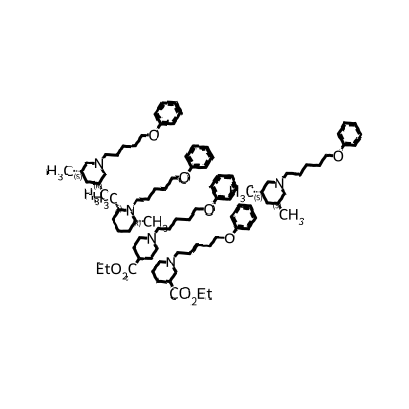 CCOC(=O)C1CCCN(CCCCCOc2ccccc2)C1.CCOC(=O)C1CCN(CCCCCOc2ccccc2)CC1.C[C@@H]1CCC[C@H](C)N1CCCCCOc1ccccc1.C[C@@H]1C[C@H](C)CN(CCCCCOc2ccccc2)C1.C[C@H]1C[C@H](C)CN(CCCCCOc2ccccc2)C1